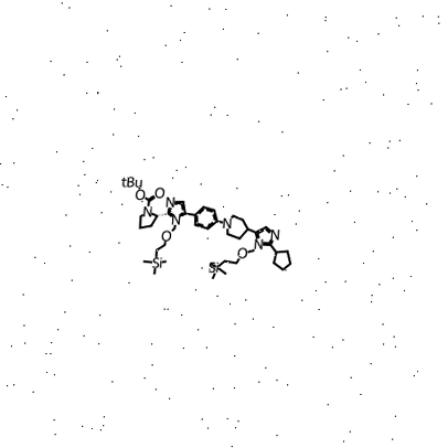 CC(C)(C)OC(=O)N1CCC[C@H]1c1ncc(-c2ccc(N3CCC(c4cnc(C5CCCC5)n4COCC[Si](C)(C)C)CC3)cc2)n1COCC[Si](C)(C)C